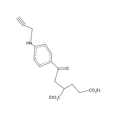 C#CCNc1ccc(C(=O)CC(CCC(=O)OCC)C(=O)OCC)cc1